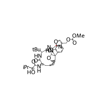 COC(=O)OCc1coc(-c2nc3oc2C24c5ccccc5NC2Oc2ccc(cc24)C[C@H](NC(=O)[C@@H](O)C(C)C)C(=O)NC3C(C)(C)C)n1